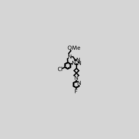 COCCN1Cc2cc(Cl)ccc2-n2c(nnc2C2CC3(C2)CN(c2ccc(F)cn2)C3)C1